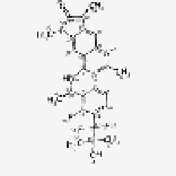 Cc1nc(N[C@H](C)c2cccc(C(F)(F)C(C)(C)O)c2F)c2cc3c(cc2n1)[C@H](C)C(=O)N3C